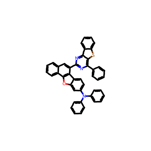 c1ccc(-c2nc(-c3cc4ccccc4c4oc5cc(N(c6ccccc6)c6ccccc6)ccc5c34)nc3c2sc2ccccc23)cc1